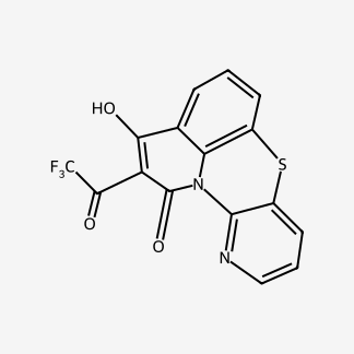 O=C(c1c(O)c2cccc3c2n(c1=O)-c1ncccc1S3)C(F)(F)F